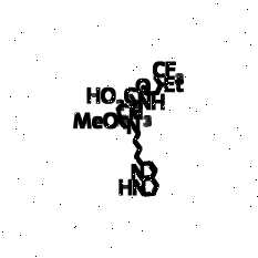 CCC(CC(=O)N[C@@H](CCN(CCCCc1ccc2c(n1)NCCC2)C[C@@H](C)OC)C(=O)O)CC(F)(F)F